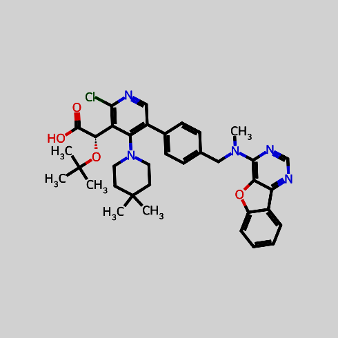 CN(Cc1ccc(-c2cnc(Cl)c([C@H](OC(C)(C)C)C(=O)O)c2N2CCC(C)(C)CC2)cc1)c1ncnc2c1oc1ccccc12